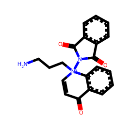 NCCC[N+]1(N2C(=O)c3ccccc3C2=O)C=CC(=O)c2ccccc21